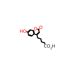 O=C(O)CCCCc1cc(=O)oc2cc(O)ccc12